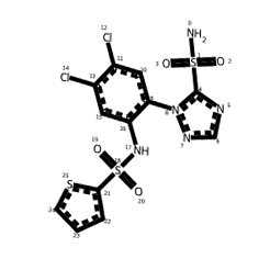 NS(=O)(=O)c1ncnn1-c1cc(Cl)c(Cl)cc1NS(=O)(=O)c1cccs1